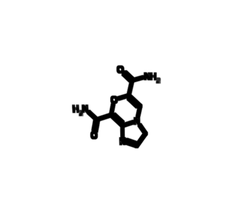 NC(=O)C1=CN2CC=NC2=C(C(N)=O)O1